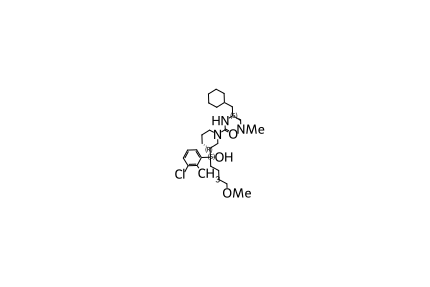 CNC[C@H](CC1CCCCC1)NC(=O)N1CCC[C@@H]([C@@](O)(CCCCOC)c2cccc(Cl)c2C)C1